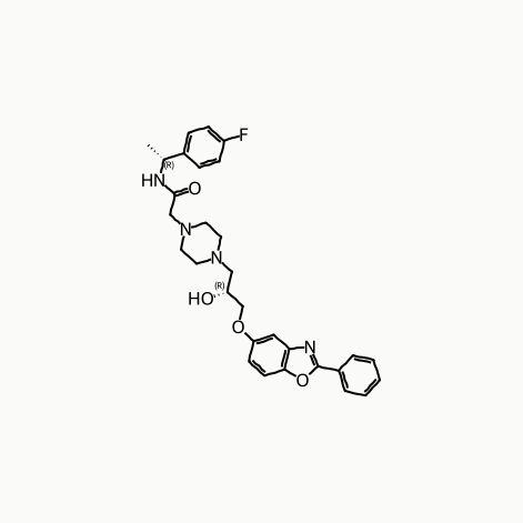 C[C@@H](NC(=O)CN1CCN(C[C@@H](O)COc2ccc3oc(-c4ccccc4)nc3c2)CC1)c1ccc(F)cc1